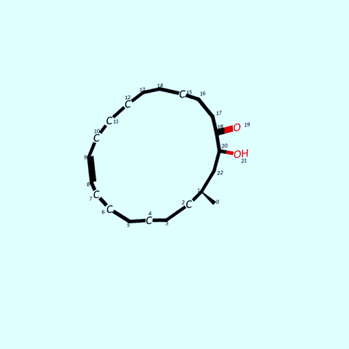 C[C@H]1CCCCCCC=CCCCCCCCCC(=O)C(O)C1